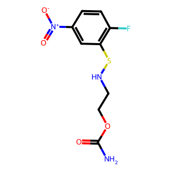 NC(=O)OCCNSc1cc([N+](=O)[O-])ccc1F